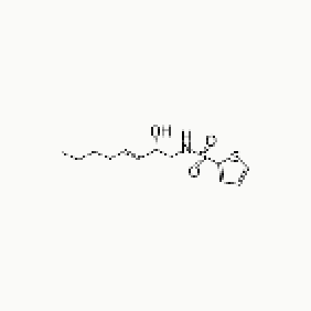 CCCCC=C[C@@H](O)CNS(=O)(=O)c1cccs1